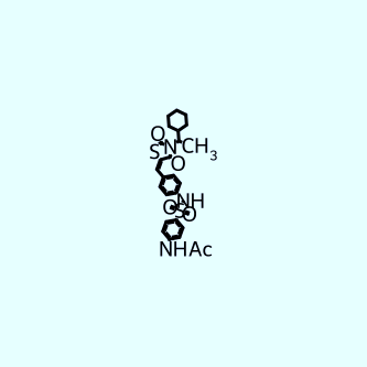 CC(=O)Nc1ccc(S(=O)(=O)Nc2ccc(C=C3SC(=O)N(C(C)C4CCCCC4)C3=O)cc2)cc1